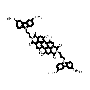 CCCCCCc1ccc2c(c1)c1cc(CCCCCC)ccc1n2CCCN1C(=O)c2cc(Cl)c3c4c(Cl)cc5c6c(cc(Cl)c(c7c(Cl)cc(c2c37)C1=O)c64)C(=O)N(CCCn1c2ccc(CCCCCC)cc2c2cc(CCCCCC)ccc21)C5=O